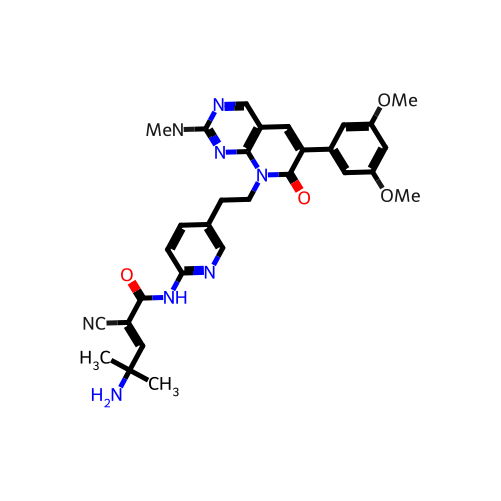 CNc1ncc2cc(-c3cc(OC)cc(OC)c3)c(=O)n(CCc3ccc(NC(=O)C(C#N)=CC(C)(C)N)nc3)c2n1